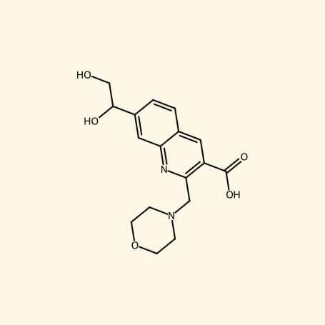 O=C(O)c1cc2ccc(C(O)CO)cc2nc1CN1CCOCC1